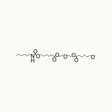 CCCCCCNC(=O)OCCCCCC(=O)OCCOCCOC(=O)CCCCCOC